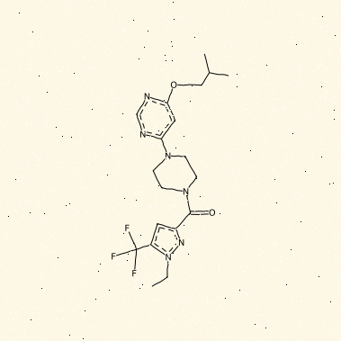 CCn1nc(C(=O)N2CCN(c3cc(OCC(C)C)ncn3)CC2)cc1C(F)(F)F